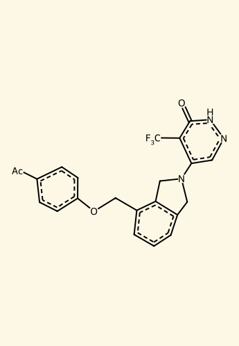 CC(=O)c1ccc(OCc2cccc3c2CN(c2cn[nH]c(=O)c2C(F)(F)F)C3)cc1